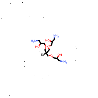 CCC(COCC(O)CN)(COCC(O)CN)COCC(O)CN